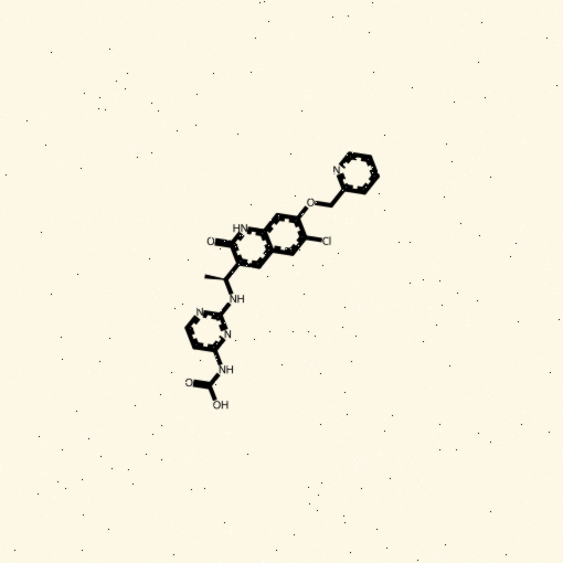 C[C@H](Nc1nccc(NC(=O)O)n1)c1cc2cc(Cl)c(OCc3ccccn3)cc2[nH]c1=O